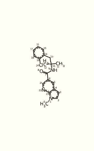 Cn1ccc2cc(C(=O)NC(C)(C)Cc3ccccc3Cl)cnc21